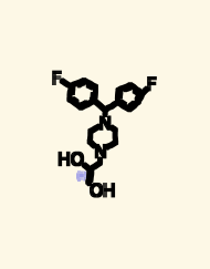 O/C=C(/O)CN1CCN(C(c2ccc(F)cc2)c2ccc(F)cc2)CC1